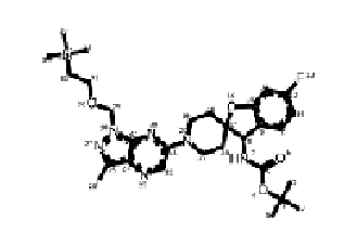 CC(C)(C)OC(=O)N[C@@H]1c2ccc(F)cc2OC12CCN(c1cnc3c(I)nn(COCC[Si](C)(C)C)c3n1)CC2